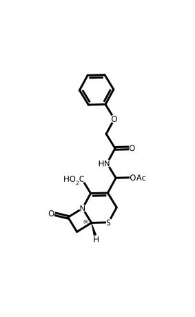 CC(=O)OC(NC(=O)COc1ccccc1)C1=C(C(=O)O)N2C(=O)C[C@H]2SC1